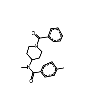 [CH2]c1ccc(C(=O)N(C)C2CCN(C(=O)c3ccccc3)CC2)cc1